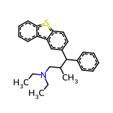 CCN(CC)CC(C)C(c1ccccc1)c1ccc2sc3ccccc3c2c1